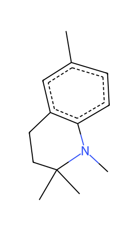 Cc1ccc2c(c1)CCC(C)(C)N2C